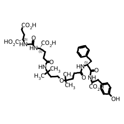 CC(C)(CCOC(C)(C)CCC(=O)N[C@@H](Cc1ccccc1)C(=O)N[C@@H](Cc1ccc(O)cc1)C(=O)O)NC(=O)CC[C@H](NC(=O)N[C@@H](CCC(=O)O)C(=O)O)C(=O)O